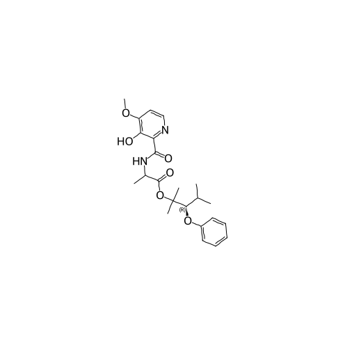 COc1ccnc(C(=O)NC(C)C(=O)OC(C)(C)[C@H](Oc2ccccc2)C(C)C)c1O